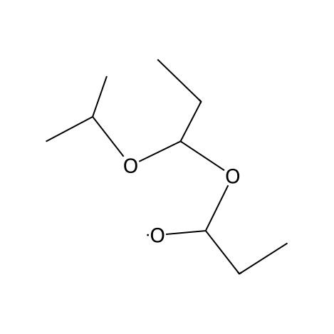 CCC([O])OC(CC)OC(C)C